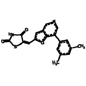 Cc1cc(C)cc(-c2cncc3cc(C=C4SC(=O)NC4=O)oc23)c1